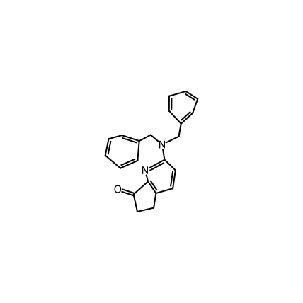 O=C1CCc2ccc(N(Cc3ccccc3)Cc3ccccc3)nc21